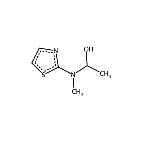 CC(O)N(C)c1nccs1